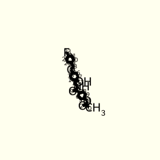 CC(=O)Oc1ccc(C(=O)NCC2(O)CCC(OCc3ccc(F)cc3)CC2)cc1